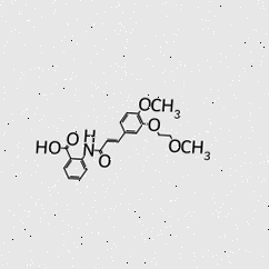 COCCOc1cc(C=CC(=O)Nc2ccccc2C(=O)O)ccc1OC